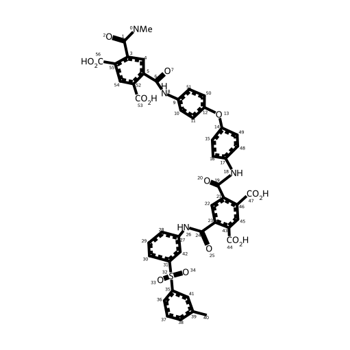 CNC(=O)c1cc(C(=O)Nc2ccc(Oc3ccc(NC(=O)c4cc(C(=O)Nc5cccc(S(=O)(=O)c6cccc(C)c6)c5)c(C(=O)O)cc4C(=O)O)cc3)cc2)c(C(=O)O)cc1C(=O)O